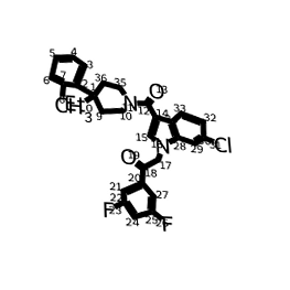 CCC1(c2ccccc2C)CCN(C(=O)c2cn(CC(=O)c3cc(F)cc(F)c3)c3cc(Cl)ccc23)CC1